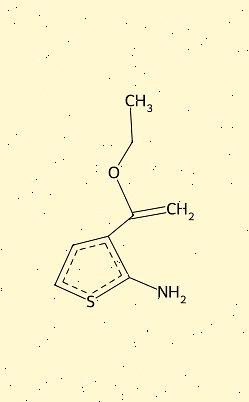 C=C(OCC)c1ccsc1N